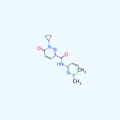 C/C=C\C(=N/C(C)F)NC(=O)c1ccc(=O)n(C2CC2)n1